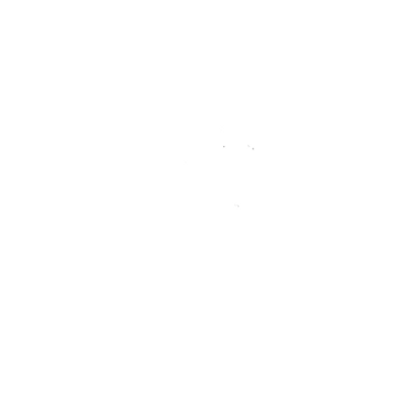 COc1ccc2sc3c(c2c1)N(Cc1ccccc1)CCNC3=O